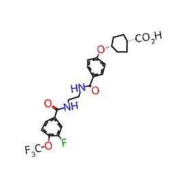 O=C(NCCNC(=O)c1ccc(OC(F)(F)F)c(F)c1)c1ccc(O[C@H]2CC[C@@H](C(=O)O)CC2)cc1